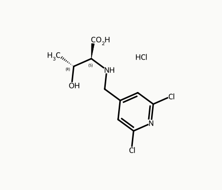 C[C@@H](O)[C@H](NCc1cc(Cl)nc(Cl)c1)C(=O)O.Cl